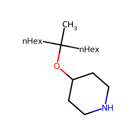 CCCCCCC(C)(CCCCCC)OC1CCNCC1